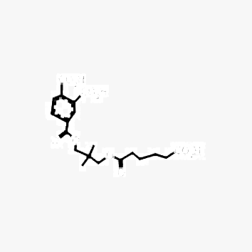 CC(C)(COC(=O)CCCCC(=O)O)COC(=O)c1ccc(C(=O)O)c(C(=O)O)c1